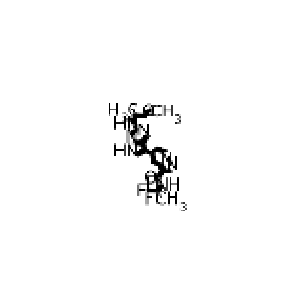 COC[C@H](C)Nc1ncc2c(-c3ccn4ncc(C(=O)N[C@H](C)C(F)(F)F)c4c3)c[nH]c2n1